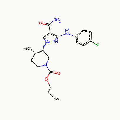 CC(C)(C)CCOC(=O)N1CC[C@H](C#N)[C@@H](n2cc(C(N)=O)c(Nc3ccc(F)cc3)n2)C1